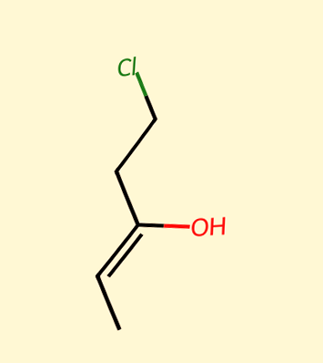 CC=C(O)CCCl